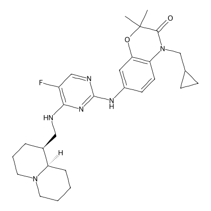 CC1(C)Oc2cc(Nc3ncc(F)c(NC[C@@H]4CCCN5CCCC[C@H]45)n3)ccc2N(CC2CC2)C1=O